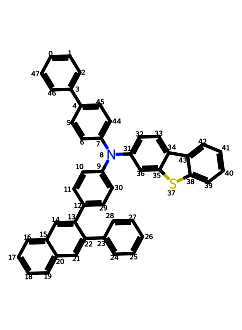 c1ccc(-c2ccc(N(c3ccc(-c4cc5ccccc5cc4-c4ccccc4)cc3)c3ccc4c(c3)sc3ccccc34)cc2)cc1